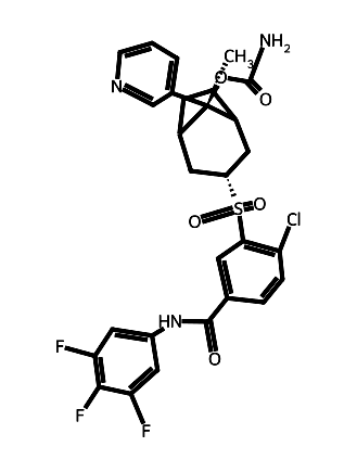 C[C@H]1CC2C[C@@H](S(=O)(=O)c3cc(C(=O)Nc4cc(F)c(F)c(F)c4)ccc3Cl)CC1[C@@]2(OC(N)=O)c1cccnc1